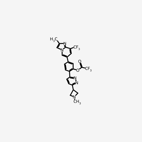 Cc1cn2cc(-c3ccc(-c4ccc(C5CN(C)C5)nn4)c(OC(=O)C(F)(F)F)c3)cc(C(F)(F)F)c2n1